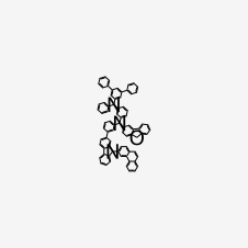 c1ccc(-c2cc(-c3ccccc3)cc(N(c3ccccc3)c3cccc(N(c4cccc(-c5ccc6c7ccccc7n(-c7ccc8ccc9ccccc9c8c7)c6c5)c4)c4ccc5oc6ccccc6c5c4)c3)c2)cc1